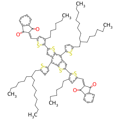 CCCCCCCCC(CCCCCC)Cc1ccc(-c2c3cc(-c4sc(C=C5C(=O)c6ccccc6C5=O)cc4CCCCCC)sc3c(-c3ccc(CC(CCCCCC)CCCCCCCC)s3)c3cc(-c4sc(C=C5C(=O)c6ccccc6C5=O)cc4CCCCCC)sc23)s1